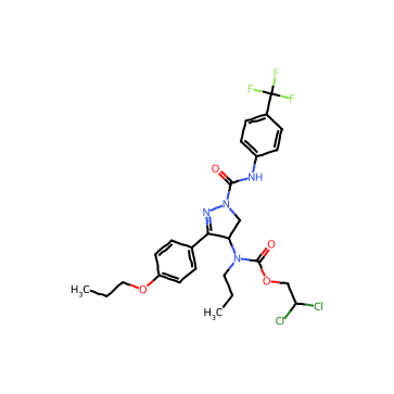 CCCOc1ccc(C2=NN(C(=O)Nc3ccc(C(F)(F)F)cc3)CC2N(CCC)C(=O)OCC(Cl)Cl)cc1